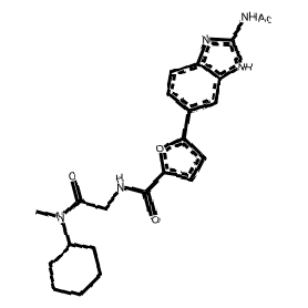 CC(=O)Nc1nc2ccc(-c3ccc(C(=O)NCC(=O)N(C)C4CCCCC4)o3)cc2[nH]1